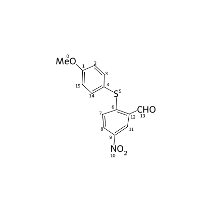 COc1ccc(Sc2ccc([N+](=O)[O-])cc2C=O)cc1